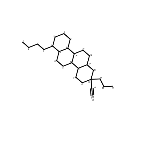 CCCCC1CCCC2C1CCC1C3CCC(C#N)(CCC)CC3CCC21